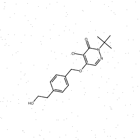 CC(C)(C)n1ncc(OCc2ccc(CCO)cc2)c(Cl)c1=O